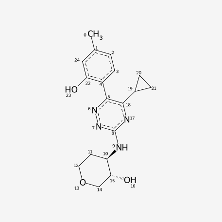 Cc1ccc(-c2nnc(N[C@@H]3CCOC[C@H]3O)nc2C2CC2)c(O)c1